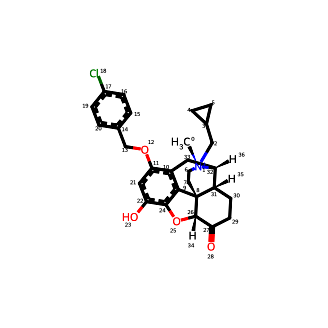 C[N@+]1(CC2CC2)CC[C@]23c4c5c(OCc6ccc(Cl)cc6)cc(O)c4O[C@H]2C(=O)CC[C@H]3[C@H]1C5